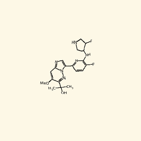 COc1cc2ncc(-c3ccc(F)c(NC4CNCC4F)n3)n2nc1C(C)(C)O